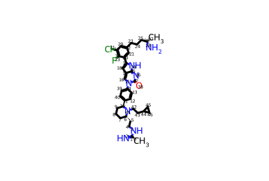 CC(=N)NCC[C@@H]1CCC[C@@H](c2ccc(-n3cc4cc(-c5cc(CCC[C@H](C)N)cc(Cl)c5F)[nH]c4nc3=O)cc2)N1CCC1CC1